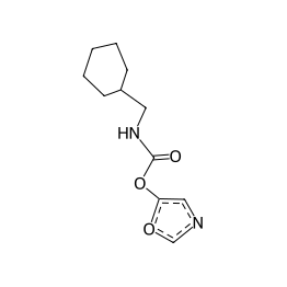 O=C(NCC1CCCCC1)Oc1cnco1